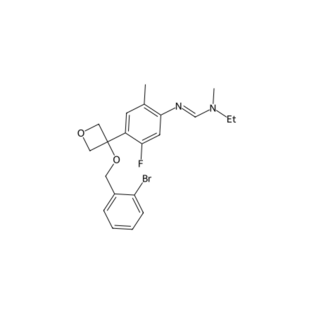 CCN(C)C=Nc1cc(F)c(C2(OCc3ccccc3Br)COC2)cc1C